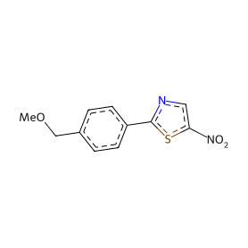 COCc1ccc(-c2ncc([N+](=O)[O-])s2)cc1